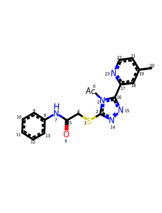 CC(=O)n1c(SCC(=O)Nc2ccccc2)nnc1-c1cc(C)ccn1